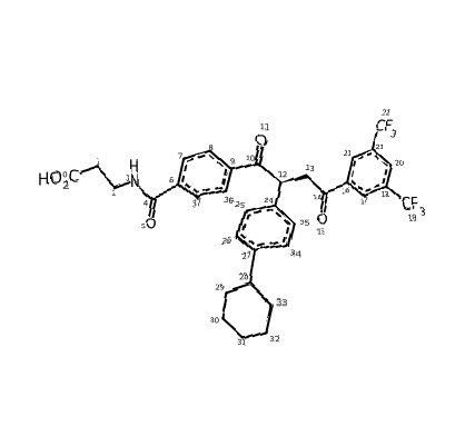 O=C(O)CCNC(=O)c1ccc(C(=O)[C@@H](CC(=O)c2cc(C(F)(F)F)cc(C(F)(F)F)c2)c2ccc(C3CCCCC3)cc2)cc1